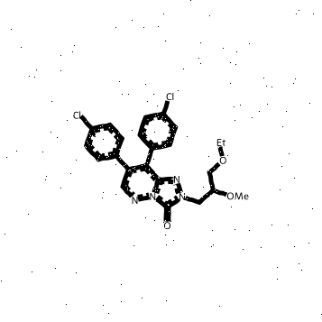 CCOCC(Cn1nc2c(-c3ccc(Cl)cc3)c(-c3ccc(Cl)cc3)cnn2c1=O)OC